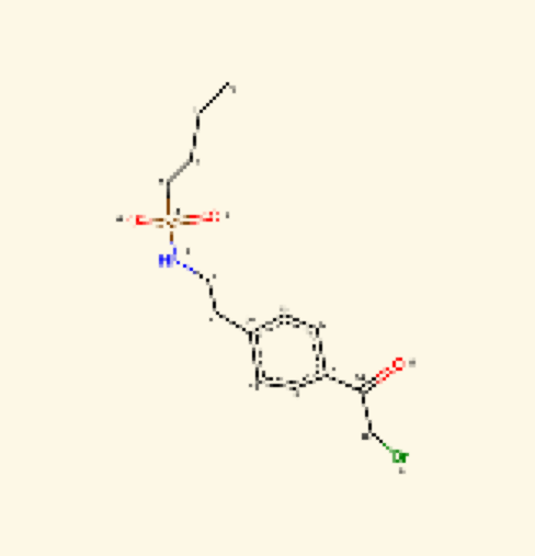 CCCCS(=O)(=O)NCCc1ccc(C(=O)CBr)cc1